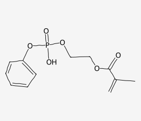 C=C(C)C(=O)OCCOP(=O)(O)Oc1ccccc1